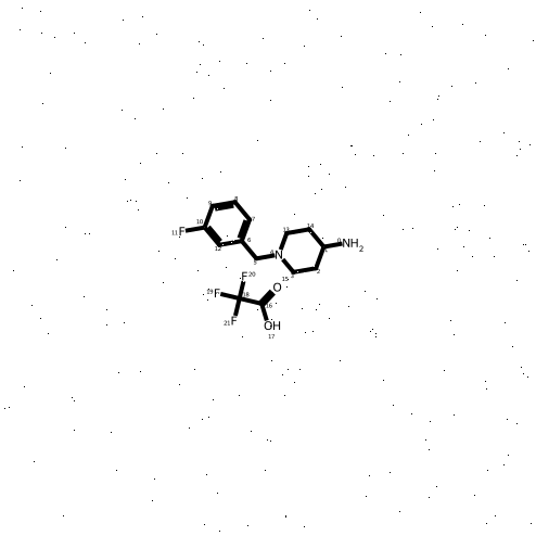 NC1CCN(Cc2cccc(F)c2)CC1.O=C(O)C(F)(F)F